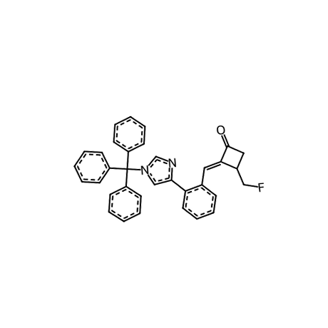 O=C1CC(CF)C1=Cc1ccccc1-c1cn(C(c2ccccc2)(c2ccccc2)c2ccccc2)cn1